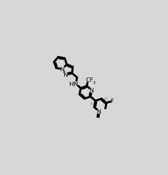 C=N/C=C(\C=C(/C)F)c1ccc(NCc2cc3ccccn3n2)c(C(F)(F)F)n1